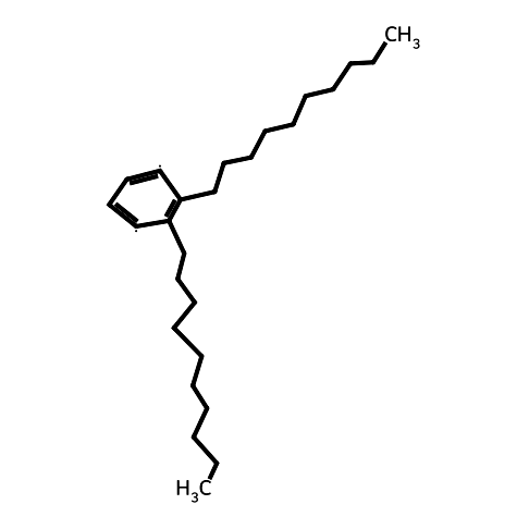 CCCCCCCCCCc1[c]cc[c]c1CCCCCCCCCC